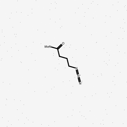 CNC(=O)CCCN=[N+]=[N-]